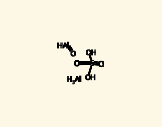 O=S(=O)(O)O.[AlH3].[O]=[AlH]